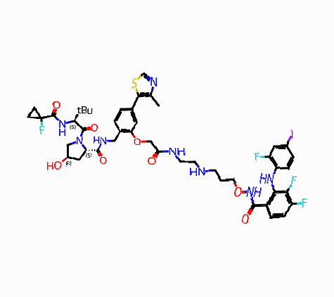 Cc1ncsc1-c1ccc(CNC(=O)[C@@H]2C[C@@H](O)CN2C(=O)[C@@H](NC(=O)C2(F)CC2)C(C)(C)C)c(OCC(=O)NCCNCCCONC(=O)c2ccc(F)c(F)c2Nc2ccc(I)cc2F)c1